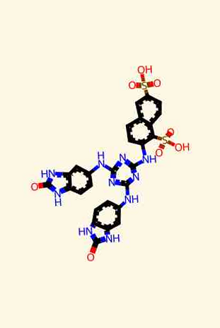 O=c1[nH]c2ccc(Nc3nc(Nc4ccc5[nH]c(=O)[nH]c5c4)nc(Nc4ccc5cc(S(=O)(=O)O)ccc5c4S(=O)(=O)O)n3)cc2[nH]1